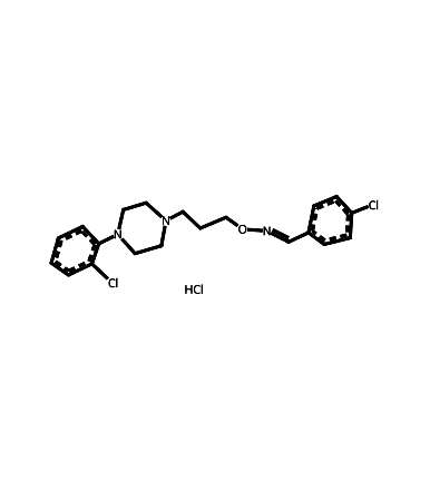 Cl.Clc1ccc(C=NOCCCN2CCN(c3ccccc3Cl)CC2)cc1